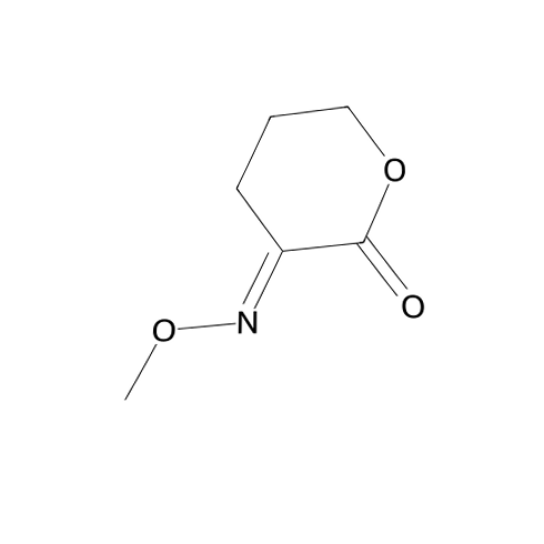 CON=C1CCCOC1=O